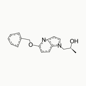 C[C@H](O)Cn1ccc2nc(OCc3ccccc3)ccc21